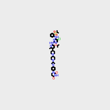 Cc1nc(Nc2ncc(Cl)c(Nc3ccccc3S(=O)(=O)C(C)C)n2)c(OC(C)C)cc1C1CCN(C2CCN(C3CN(c4ccc(N5CCC(=O)NC5=O)cc4)C3)CC2)CC1